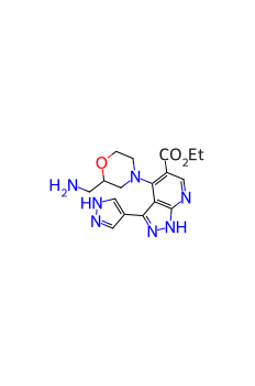 CCOC(=O)c1cnc2[nH]nc(-c3cn[nH]c3)c2c1N1CCOC(CN)C1